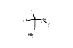 Br.FC(F)(F)NBr